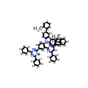 Cc1ccccc1-c1ccc2c(c1)c1cc(-c3ccccc3C)ccc1n2-c1ccc(-c2nc(-c3ccccc3)nc(-c3ccccc3)n2)cc1-c1nc(-c2ccccc2)cc(-c2ccccc2)n1